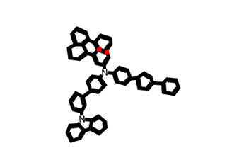 c1ccc(-c2ccc(-c3ccc(N(c4ccc(-c5cccc(-n6c7ccccc7c7ccccc76)c5)cc4)c4cccc(-c5cccc6cccc(-c7ccccc7)c56)c4)cc3)cc2)cc1